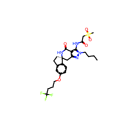 CCCCn1nc2c(c1NC(=O)CS(C)(=O)=O)C(=O)N[C@@]1(CCc3cc(OCCCC(F)(F)F)ccc31)C2